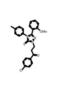 COc1ccccc1-c1nn(CCC(=O)c2ccc(Cl)cc2)c(=S)n1-c1ccc(C)cc1